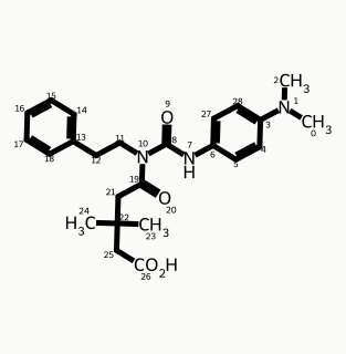 CN(C)c1ccc(NC(=O)N(CCc2ccccc2)C(=O)CC(C)(C)CC(=O)O)cc1